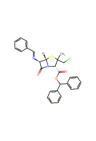 CC1(CCl)S[C@H]2[C@H](N=Cc3ccccc3)C(=O)N2[C@H]1C(=O)OC(c1ccccc1)c1ccccc1